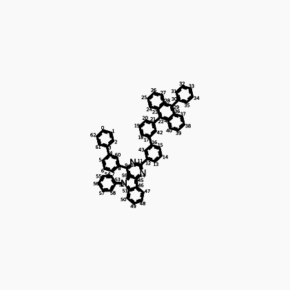 c1ccc(-c2cccc(-c3nc(-c4cccc(-c5cccc(-c6c7ccccc7c(-c7ccccc7)c7ccccc67)c5)c4)nc4c5ccccc5n(-c5ccccc5)c34)c2)cc1